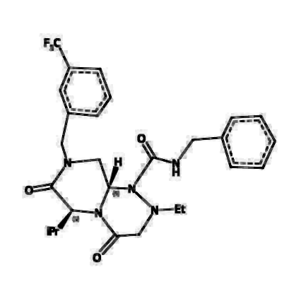 CCN1CC(=O)N2[C@@H](C(C)C)C(=O)N(Cc3cccc(C(F)(F)F)c3)C[C@@H]2N1C(=O)NCc1ccccc1